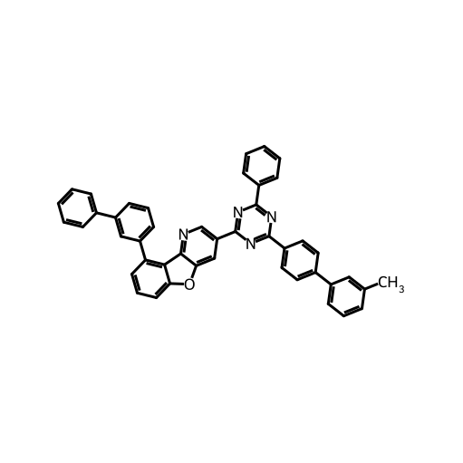 Cc1cccc(-c2ccc(-c3nc(-c4ccccc4)nc(-c4cnc5c(c4)oc4cccc(-c6cccc(-c7ccccc7)c6)c45)n3)cc2)c1